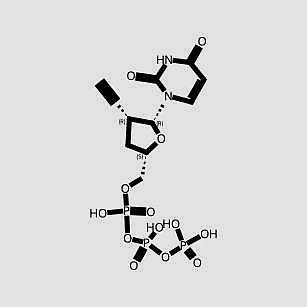 C#C[C@H]1C[C@@H](COP(=O)(O)OP(=O)(O)OP(=O)(O)O)O[C@H]1n1ccc(=O)[nH]c1=O